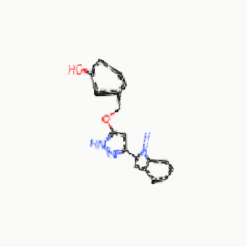 Oc1cccc(COc2cc(-c3cc4ccccc4[nH]3)n[nH]2)c1